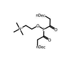 CCCCCCCCCCCC(=O)P(OCC[N+](C)(C)C)C(=O)CCCCCCCCCCC